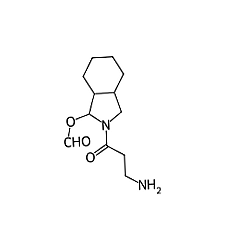 NCCC(=O)N1CC2CCCCC2C1OC=O